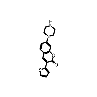 O=c1oc2cc(N3CCNCC3)ccc2cc1-c1cccs1